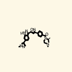 C[C@H]1CN(C)CCN1C(=O)c1ccc(-c2cc(-c3n[nH]c4cc(-c5cnn(C)c5)ccc34)on2)cc1